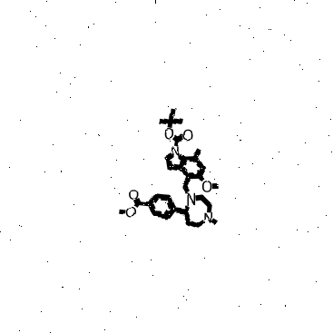 COC(=O)c1ccc(C2CCN(C)CCN2Cc2c(OC)cc(C)c3c2ccn3C(=O)OC(C)(C)C)cc1